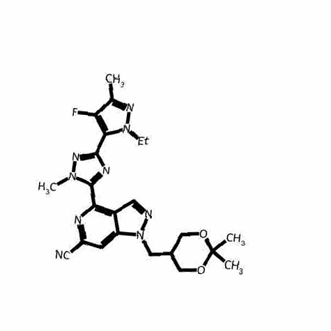 CCn1nc(C)c(F)c1-c1nc(-c2nc(C#N)cc3c2cnn3CC2COC(C)(C)OC2)n(C)n1